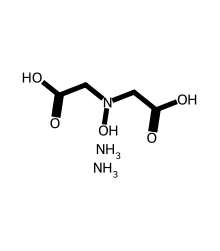 N.N.O=C(O)CN(O)CC(=O)O